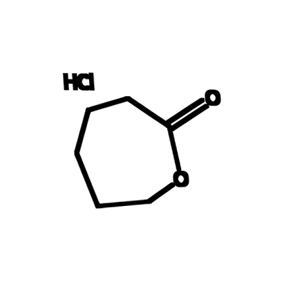 Cl.O=C1CCCCCO1